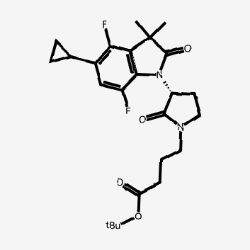 CC(C)(C)OC(=O)CCCN1CC[C@@H](N2C(=O)C(C)(C)c3c(F)c(C4CC4)cc(F)c32)C1=O